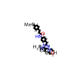 COc1ccc(C=CC(=O)Nc2ccc(Cc3nc(N(C)C)c(CC(=O)O)c(N4CCOCC4)n3)cc2)cc1